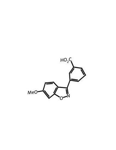 COc1ccc2c(-c3cccc(C(=O)O)c3)noc2c1